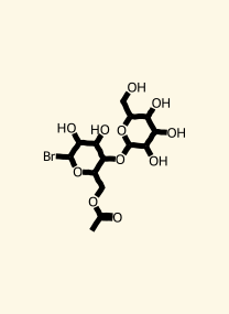 CC(=O)OCC1OC(Br)C(O)C(O)C1OC1OC(CO)C(O)C(O)C1O